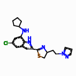 Clc1cc(NC2CCCC2)c2[nH]c(C3=NC(CCn4cccn4)CS3)cc2c1